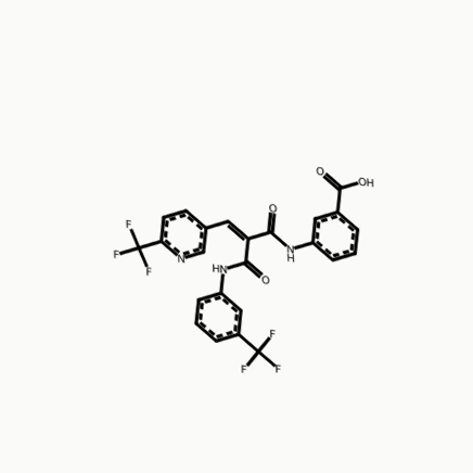 O=C(Nc1cccc(C(=O)O)c1)/C(=C/c1ccc(C(F)(F)F)nc1)C(=O)Nc1cccc(C(F)(F)F)c1